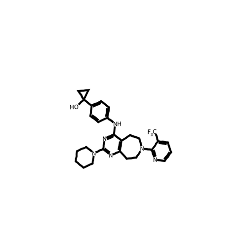 OC1(c2ccc(Nc3nc(N4CCCCC4)nc4c3CCN(c3ncccc3C(F)(F)F)CC4)cc2)CC1